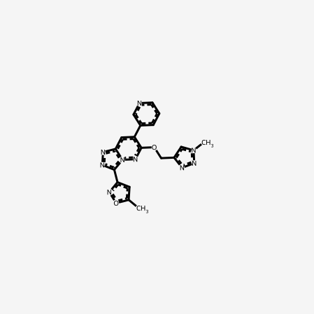 Cc1cc(-c2nnc3cc(-c4cccnc4)c(OCc4cn(C)nn4)nn23)no1